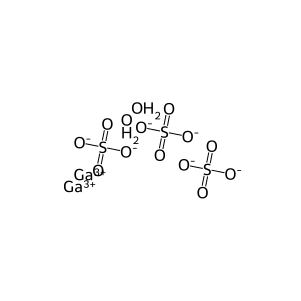 O.O.O=S(=O)([O-])[O-].O=S(=O)([O-])[O-].O=S(=O)([O-])[O-].[Ga+3].[Ga+3]